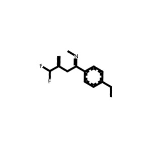 C=C(C/C(=N\C)c1ccc(CC)cc1)C(F)F